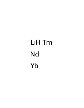 [LiH].[Nd].[Tm].[Yb]